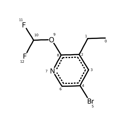 CCc1cc(Br)cnc1OC(F)F